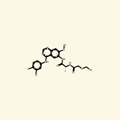 CCOc1cc2ncnc(Nc3ccc(F)c(Cl)c3)c2cc1NC(=O)[C@@H](C)NC(=O)CSCC(C)=O